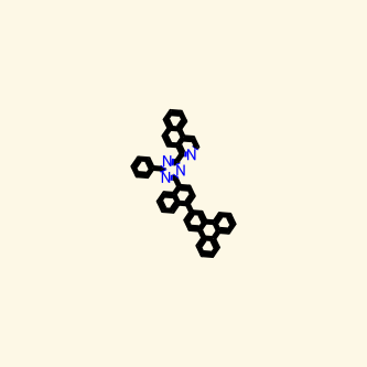 c1ccc(-c2nc(-c3ccc(-c4ccc5c6ccccc6c6ccccc6c5c4)c4ccccc34)nc(-c3nccc4c3ccc3ccccc34)n2)cc1